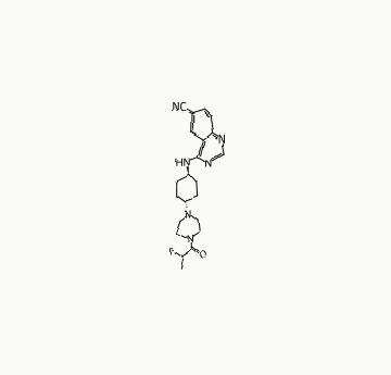 CC(F)C(=O)N1CCN([C@H]2CC[C@H](Nc3ncnc4ccc(C#N)cc34)CC2)CC1